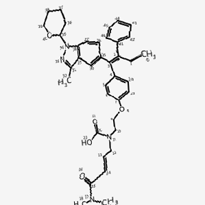 CCC(=C(c1ccc(OCCN(CC=CC(=O)N(C)C)C(=O)O)cc1)c1ccc2c(c1)c(C)nn2C1CCCCO1)c1ccccc1